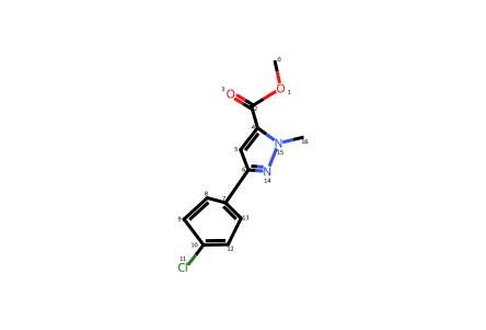 COC(=O)c1cc(-c2ccc(Cl)cc2)nn1C